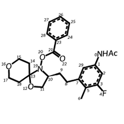 CC(=O)Nc1cc(F)c(C)c(CC[C@H]2COC3(CCOCC3)N2OC(=O)c2ccccc2)c1